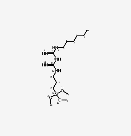 CCCCCCNC(=N)NC(=N)NCCC[Si](OC)(OC)OC